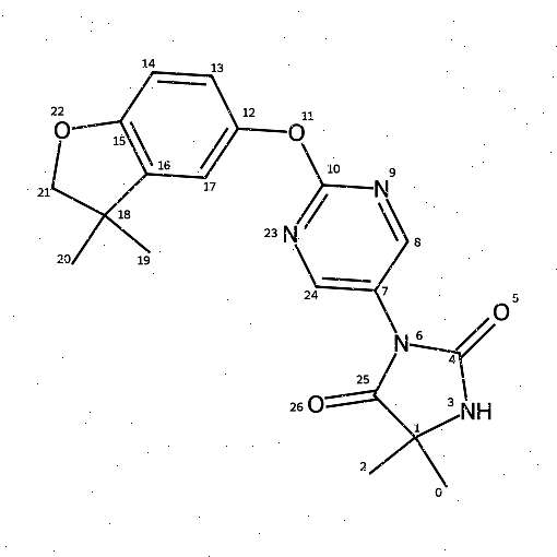 CC1(C)NC(=O)N(c2cnc(Oc3ccc4c(c3)C(C)(C)CO4)nc2)C1=O